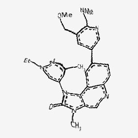 CCn1cc(-n2c(=O)n(C)c3cnc4ccc(-c5cnc(NC)c(COC)c5)cc4c32)c(C)n1